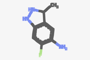 CC1NNc2cc(F)c(N)cc21